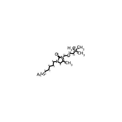 CC(=O)SCCCCCN1CC(C)N(COCC[Si](C)(C)C)C1=O